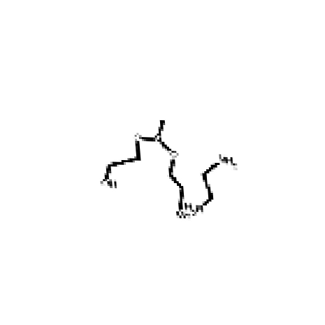 CN(OCCO)OCCO.NCCN